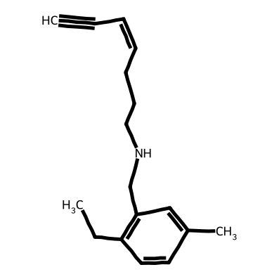 C#C/C=C\CCCNCc1cc(C)ccc1CC